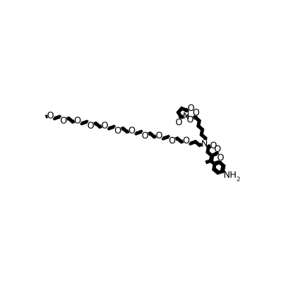 COCCOCCOCCOCCOCCOCCOCCOCCOCCOCCOCCCN(CCCCCC(=O)ON1C(=O)CCC1=O)C(=O)Cc1c(C)c2ccc(N)cc2oc1=O